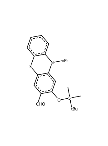 CCCN1c2ccccc2Sc2cc(C=O)c(O[Si](C)(C)C(C)(C)C)cc21